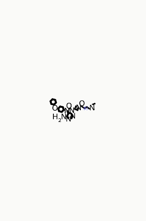 CCN(C)C/C=C/C(=O)N1CC(n2c(=O)n(-c3ccc(Oc4ccccc4)cc3)c3c(N)ncnc32)C1